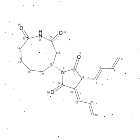 C=CC=C[C@H]1C(=O)N([C@@H]2CCCCC(=O)NC(=O)C2)C(=O)/C1=C/C=C